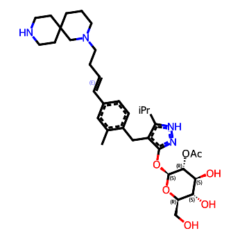 CC(=O)O[C@H]1[C@H](Oc2n[nH]c(C(C)C)c2Cc2ccc(/C=C/CCN3CCCC4(CCNCC4)C3)cc2C)O[C@H](CO)[C@@H](O)[C@@H]1O